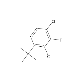 CC(C)(C)c1ccc(Cl)c(F)c1Cl